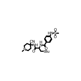 CN1CCC(C#N)(NC(=O)C(CC(C)(C)C)NC(=O)c2ccc(NS(C)(=O)=O)cc2)CC1